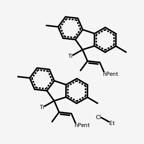 CCCCCC=C(C)[C]1([Ti])c2cc(C)ccc2-c2ccc(C)cc21.CCCCCC=C(C)[C]1([Ti])c2cc(C)ccc2-c2ccc(C)cc21.CCCl